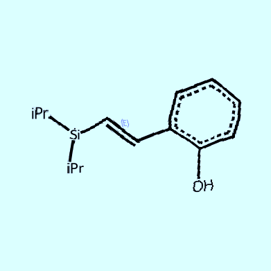 CC(C)[Si](/C=C/c1ccccc1O)C(C)C